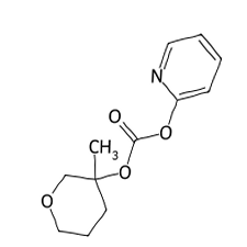 CC1(OC(=O)Oc2ccccn2)CCCOC1